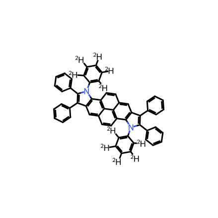 [2H]c1c([2H])c([2H])c(-n2c(-c3ccccc3)c(-c3ccccc3)c3cc4ccc5c6c(ccc(c46)c32)cc2c(-c3ccccc3)c(-c3ccccc3)n(-c3c([2H])c([2H])c([2H])c([2H])c3[2H])c25)c([2H])c1[2H]